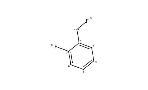 F[CH]c1ccccc1F